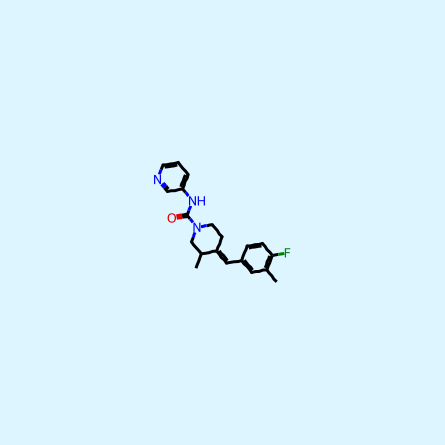 Cc1cc(C=C2CCN(C(=O)Nc3cccnc3)CC2C)ccc1F